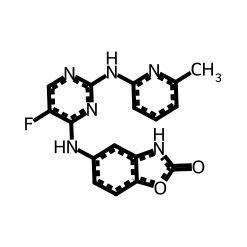 Cc1cccc(Nc2ncc(F)c(Nc3ccc4oc(=O)[nH]c4c3)n2)n1